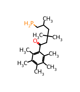 Cc1c(C)c(C)c(C(=O)CC(C)(C)CC(C)CP)c(C)c1C